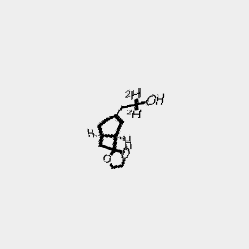 [2H]C([2H])(O)C[C@@H]1C[C@@H]2CC3(OCCO3)[C@@H]2C1